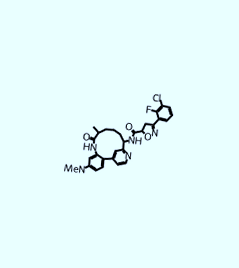 CNc1ccc2c(c1)NC(=O)C(C)CCCC(NC(=O)C1CC(c3cccc(Cl)c3F)=NO1)c1cc-2ccn1